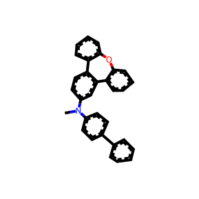 CN(c1ccc(-c2ccccc2)cc1)c1ccc2c(c1)-c1ccccc1Oc1ccccc1-2